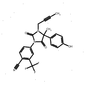 CC#CCN1C(=O)N(c2ccc(C#N)c(C(F)(F)F)c2)C(=O)C1(C)c1ccc(O)cc1